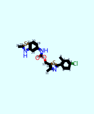 Cc1cc(Cl)ccc1-c1nc(C)c(COC(=O)Nc2ccc3c(c2)NC(C)S3)s1